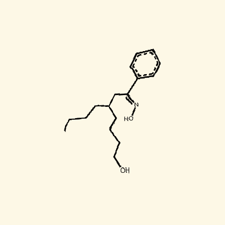 CCCCC(CCCCO)CC(=NO)c1ccccc1